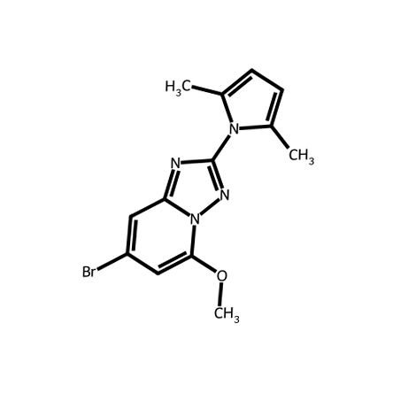 COc1cc(Br)cc2nc(-n3c(C)ccc3C)nn12